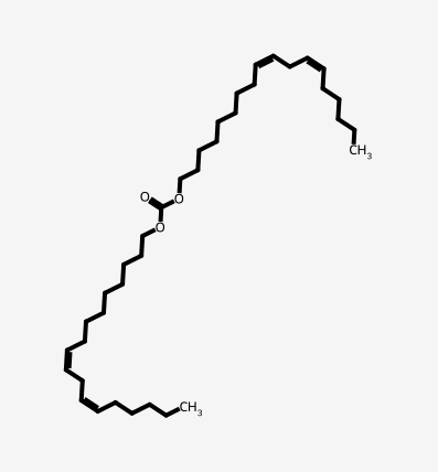 CCCCC/C=C\C/C=C\CCCCCCCCOC(=O)OCCCCCCCC/C=C\C/C=C\CCCCC